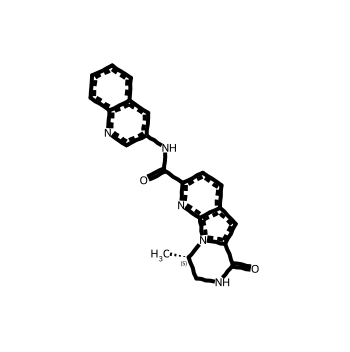 C[C@H]1CNC(=O)c2cc3ccc(C(=O)Nc4cnc5ccccc5c4)nc3n21